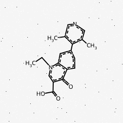 CCn1cc(C(=O)O)c(=O)c2ccc(-c3c(C)cncc3C)cc21